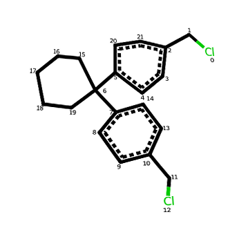 ClCc1ccc(C2(c3ccc(CCl)cc3)CCCCC2)cc1